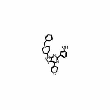 Oc1cccc(-c2nc(C3=CCOCC3)c3nnn(C4CCN(Cc5ccccc5)CC4)c3n2)c1